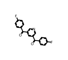 O=C(c1ccc(F)cc1)c1cncc(C(=O)c2ccc(F)cc2)c1